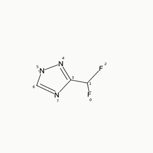 FC(F)C1=N[N]C=N1